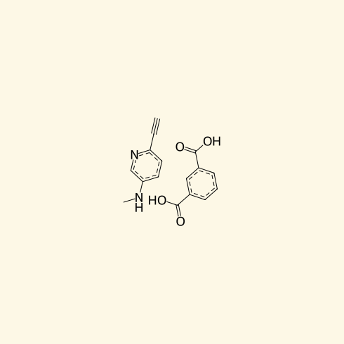 C#Cc1ccc(NC)cn1.O=C(O)c1cccc(C(=O)O)c1